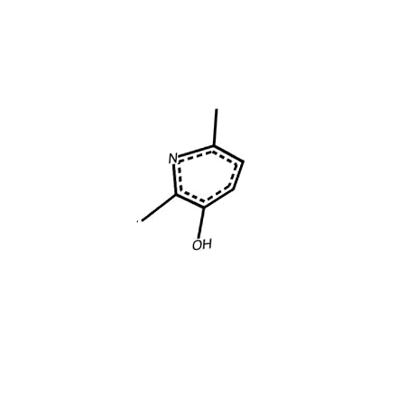 [CH2]c1nc(C)ccc1O